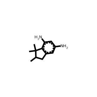 CC1Cc2cc(N)cc(N)c2C1(C)C